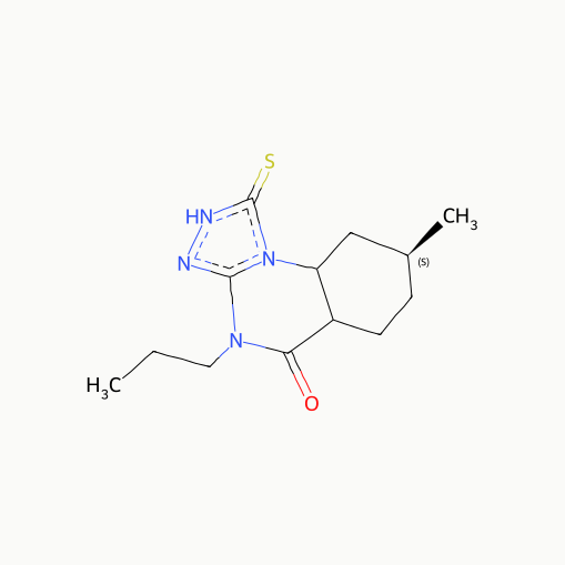 CCCN1C(=O)C2CC[C@H](C)CC2n2c1n[nH]c2=S